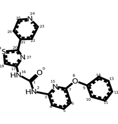 O=C(Nc1cccc(Oc2ccccc2)n1)Nc1csc(-c2ccncc2)n1